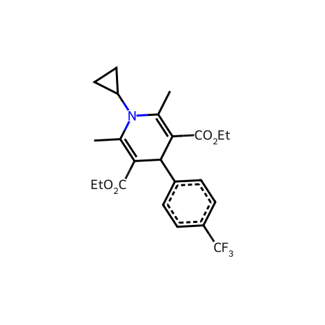 CCOC(=O)C1=C(C)N(C2CC2)C(C)=C(C(=O)OCC)C1c1ccc(C(F)(F)F)cc1